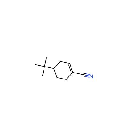 CC(C)(C)C1CC=C(C#N)CC1